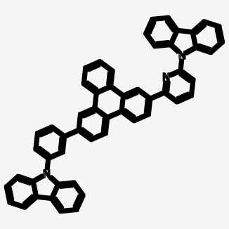 c1cc(-c2ccc3c4ccc(-c5cccc(-n6c7ccccc7c7ccccc76)n5)cc4c4ccccc4c3c2)cc(-n2c3ccccc3c3ccccc32)c1